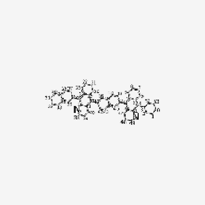 c1ccc(-c2c3ccccc3c(-c3ccc4cc(-c5c6ccccc6c(-c6ccc7ccccc7c6)c6ncccc56)ccc4c3)c3cccnc23)cc1